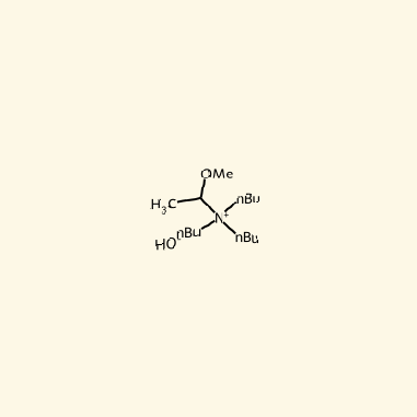 CCCC[N+](CCCC)(CCCC)C(C)OC.[OH-]